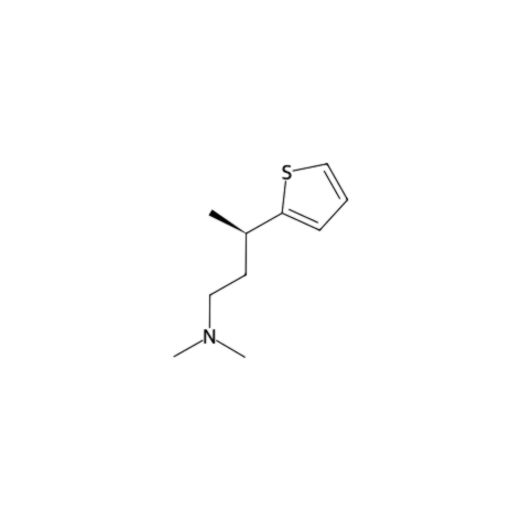 C[C@H](CCN(C)C)c1cccs1